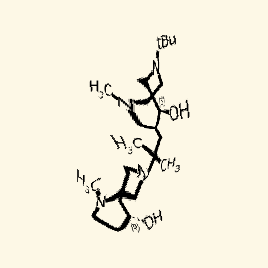 CN1CC[C@@H](O)C12CN(C(C)(C)CC1CN(C)C3(CN(C(C)(C)C)C3)[C@H]1O)C2